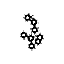 c1ccc(-c2cc(-c3ccccc3)cc(N(c3ccc(-c4ccc5oc6ccccc6c5c4)cc3)c3cccc4ccccc34)c2)cc1